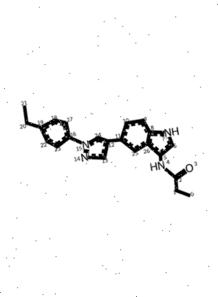 CCC(=O)Nc1c[nH]c2ccc(-c3cnn(-c4ccc(CC)cc4)c3)cc12